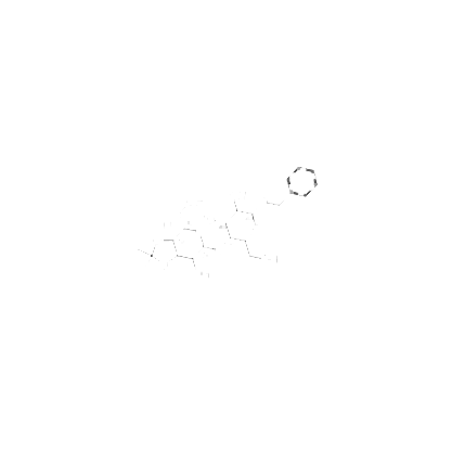 CC1(C)OC2C(O)[C@H](O[C@@H]3C(CO)O[C@@H](OCc4ccccc4)C(O)[C@H]3O)O[C@@H](CO)[C@@H]2O1